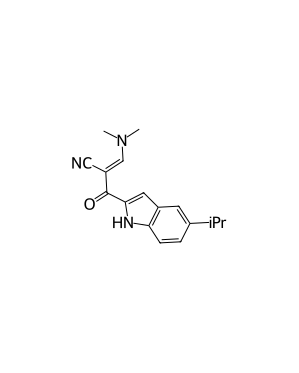 CC(C)c1ccc2[nH]c(C(=O)C(C#N)=CN(C)C)cc2c1